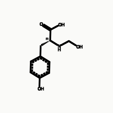 O=C(O)[C@@H](Cc1ccc(O)cc1)NCO